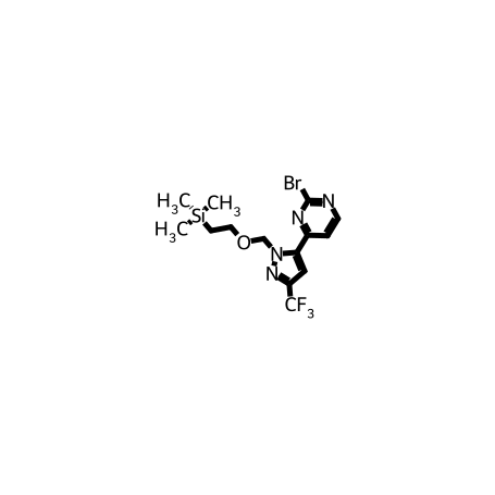 C[Si](C)(C)CCOCn1nc(C(F)(F)F)cc1-c1ccnc(Br)n1